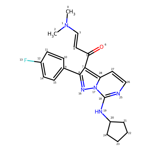 CN(C)/C=C/C(=O)c1c(-c2ccc(F)cc2)nn2c(NC3CCCC3)nccc12